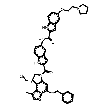 Cc1csc2c(OCc3ccccc3)cc3c(c12)[C@H](CCl)CN3C(=O)c1cc2cc(NC(=O)c3cc4cc(OCCN5CCCC5)ccc4[nH]3)ccc2[nH]1